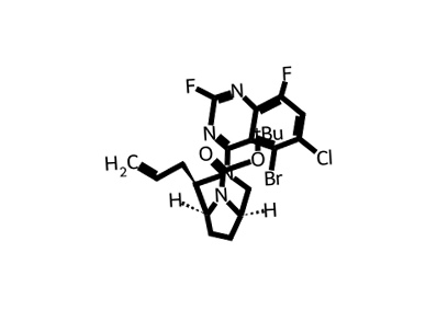 C=CC[C@@H]1[C@@H]2CC[C@H](CN1c1nc(F)nc3c(F)cc(Cl)c(Br)c13)N2C(=O)OC(C)(C)C